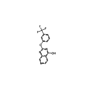 Oc1nc(Oc2cccc(C(F)(F)F)c2)nc2cnccc12